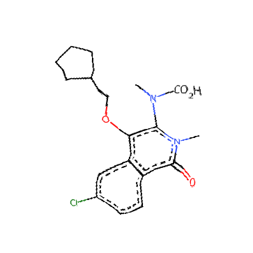 CN(C(=O)O)c1c(OCC2CCCC2)c2cc(Cl)ccc2c(=O)n1C